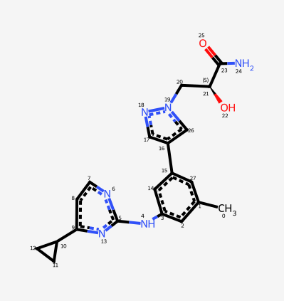 Cc1cc(Nc2nccc(C3CC3)n2)cc(-c2cnn(C[C@H](O)C(N)=O)c2)c1